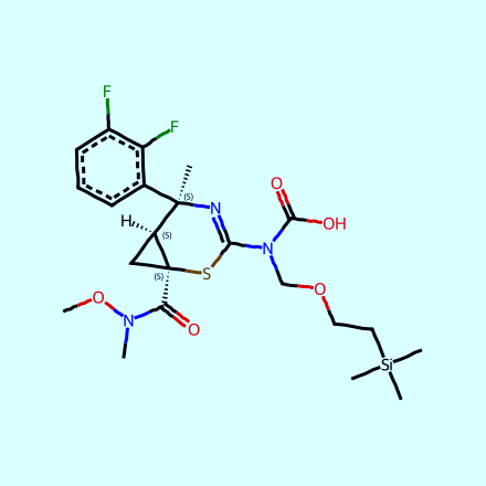 CON(C)C(=O)[C@]12C[C@H]1[C@@](C)(c1cccc(F)c1F)N=C(N(COCC[Si](C)(C)C)C(=O)O)S2